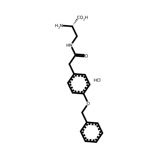 Cl.N[C@@H](CNC(=O)Cc1ccc(OCc2ccccc2)cc1)C(=O)O